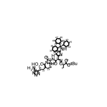 CC(O/N=C(\C(=O)N[C@@H]1C(=O)N2C(C(=O)O)=C(CSc3nnnn3N)CS[C@@H]12)c1csc(NC(c2ccccc2)(c2ccccc2)c2ccccc2)n1)C(=O)OC(C)(C)C